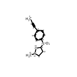 CC#Cc1ccc([S+]([O-])C2CCN(C)O2)cc1